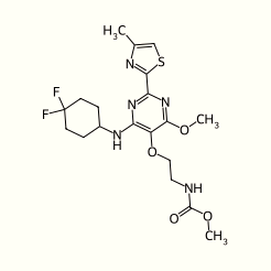 COC(=O)NCCOc1c(NC2CCC(F)(F)CC2)nc(-c2nc(C)cs2)nc1OC